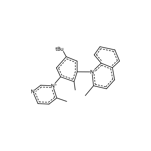 Cc1c(-[n+]2cnccc2C)cc(C(C)(C)C)cc1-[n+]1c(C)ccc2ccccc21